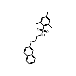 Cc1cc(C)c(S(=O)(=O)NCCOc2ccc3ccccc3c2)c(C)c1